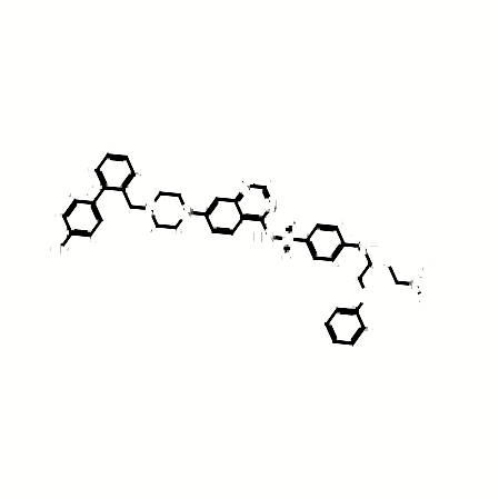 CN(C)CC[C@H](CSc1ccccc1)Nc1ccc(S(=O)(=O)Nc2ncnc3cc(N4CCN(Cc5ccccc5-c5ccc(Cl)cc5)CC4)ccc23)cc1